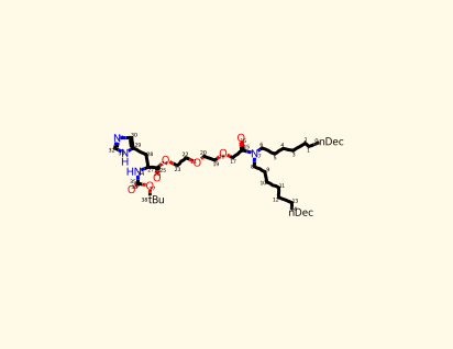 CCCCCCCCCCCCCCCCN(CCCCCCCCCCCCCCCC)C(=O)COCCOCCOC(=O)C(Cc1cnc[nH]1)NC(=O)OC(C)(C)C